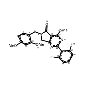 COc1ccc(CN2Cc3nc(-c4c(F)cccc4F)nc(SC)c3C2=O)c(OC)c1